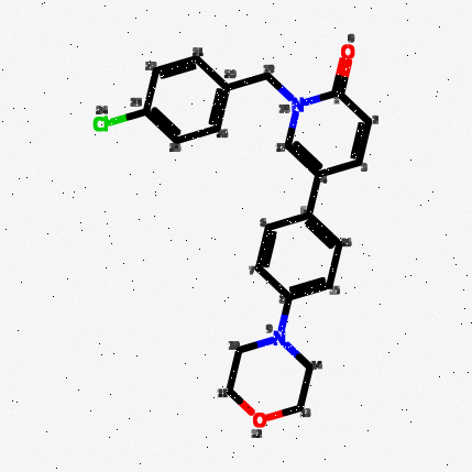 O=c1ccc(-c2ccc(N3CCOCC3)cc2)cn1Cc1ccc(Cl)cc1